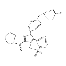 O=C(c1nn(-c2ccc(CN3CCC(F)CC3)nc2)c2c1CS(=O)(=O)c1ccccc1-2)N1CCOCC1